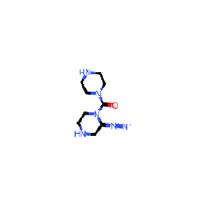 [N-]=[N+]=C1CNCCN1C(=O)N1CCNCC1